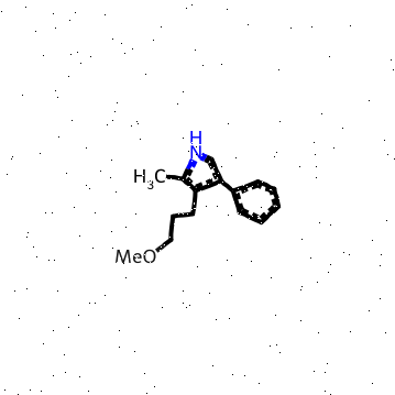 COCCCc1c(-c2ccccc2)c[nH]c1C